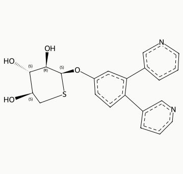 O[C@@H]1[C@@H](O)[C@@H](Oc2ccc(-c3cccnc3)c(-c3cccnc3)c2)SC[C@H]1O